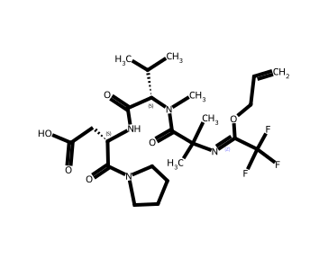 C=CCO/C(=N\C(C)(C)C(=O)N(C)[C@H](C(=O)N[C@@H](CC(=O)O)C(=O)N1CCCC1)C(C)C)C(F)(F)F